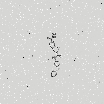 O=C(NO)C1C=C2CCN(C(=O)Nc3ccc(Cc4ccccc4)cc3)CC2=CC1